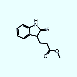 COC(=O)CCC1C(=S)Nc2ccccc21